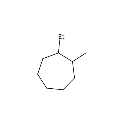 [CH2]CC1CCCCCC1C